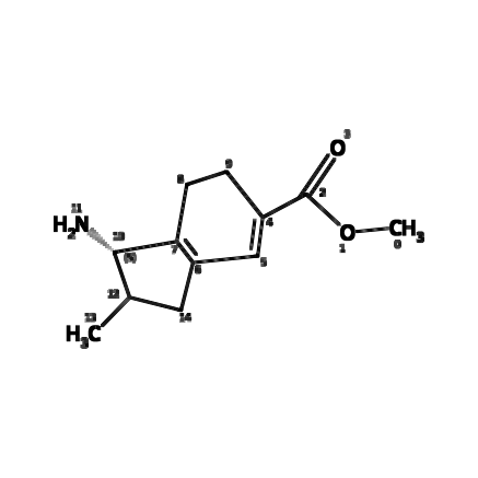 COC(=O)C1=CC2=C(CC1)[C@@H](N)C(C)C2